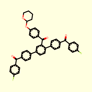 O=C(c1ccc(F)cc1)c1ccc(-c2ccc(-c3ccc(C(=O)c4ccc(F)cc4)cc3)c(C(=O)c3ccc(OC4CCCCO4)cc3)c2)cc1